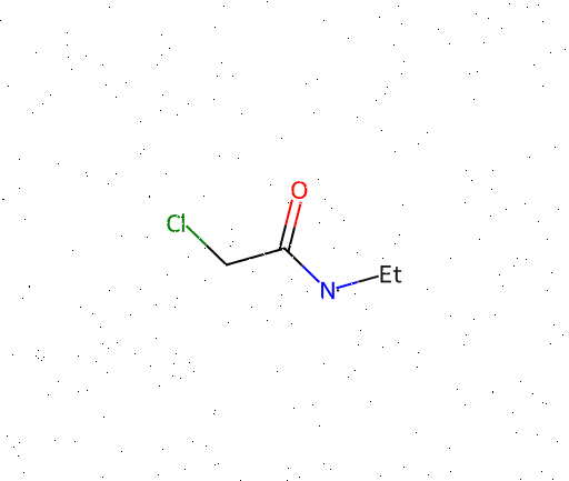 CC[N]C(=O)CCl